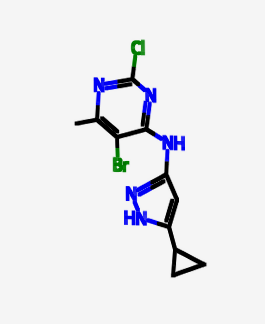 Cc1nc(Cl)nc(Nc2cc(C3CC3)[nH]n2)c1Br